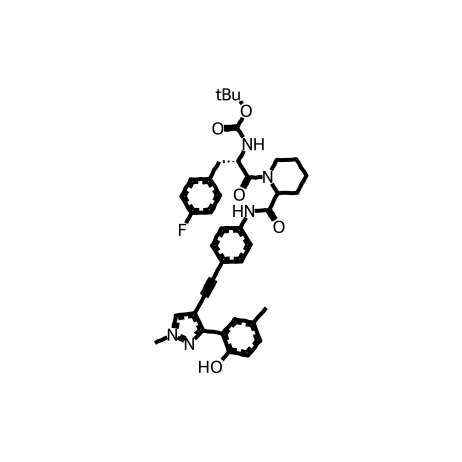 Cc1ccc(O)c(-c2nn(C)cc2C#Cc2ccc(NC(=O)C3CCCCN3C(=O)[C@H](Cc3ccc(F)cc3)NC(=O)OC(C)(C)C)cc2)c1